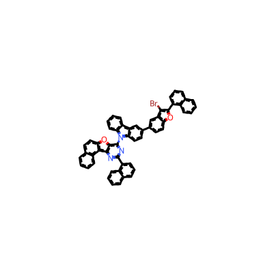 Brc1c(-c2cccc3ccccc23)oc2ccc(-c3ccc4c(c3)c3ccccc3n4-c3nc(-c4cccc5ccccc45)nc4c3oc3ccc5ccccc5c34)cc12